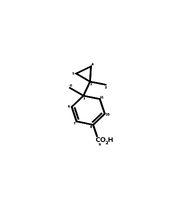 CC1(C2(C)CC2)C=CC(C(=O)O)=CC1